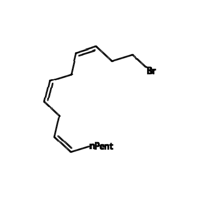 CCCCC/C=C\C/C=C\C/C=C\CCBr